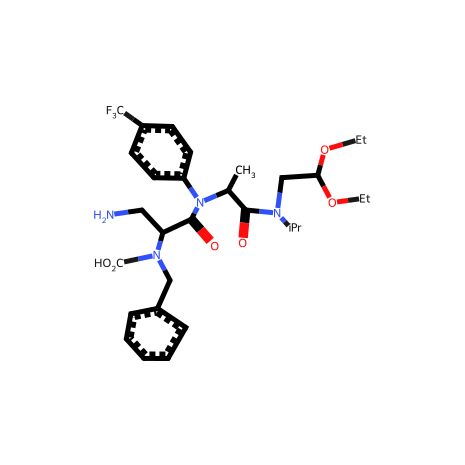 CCOC(CN(C(=O)C(C)N(C(=O)C(CN)N(Cc1ccccc1)C(=O)O)c1ccc(C(F)(F)F)cc1)C(C)C)OCC